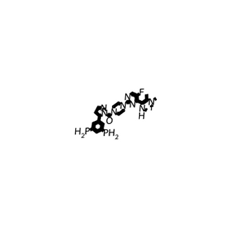 CN/C(=C(/C)N(C)I)c1nc(N2CCN(C(=O)N3N=CCC3c3cc(P)cc(P)c3)CC2)ncc1F